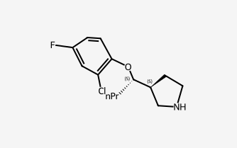 CCC[C@H](Oc1ccc(F)cc1Cl)[C@H]1CCNC1